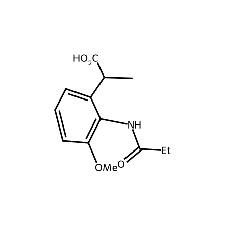 CCC(=O)Nc1c(OC)cccc1C(C)C(=O)O